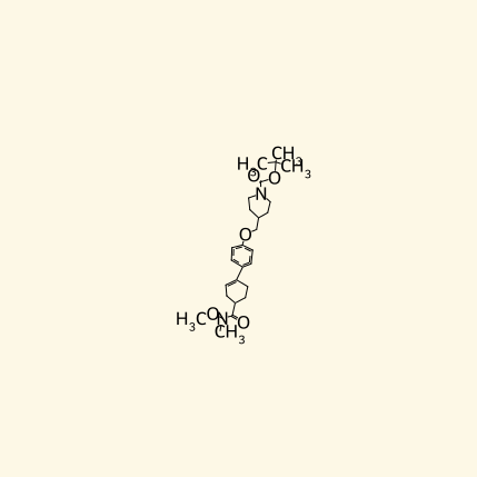 CON(C)C(=O)C1CC=C(c2ccc(OCC3CCN(C(=O)OC(C)(C)C)CC3)cc2)CC1